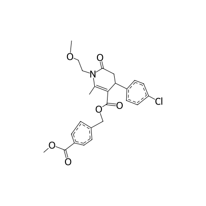 COCCN1C(=O)CC(c2ccc(Cl)cc2)C(C(=O)OCc2ccc(C(=O)OC)cc2)=C1C